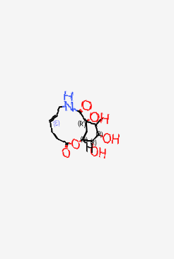 CC1[C@@H](O)[C@@H](O)[C@H]2C[C@]1(O)C(=O)NC/C=C/CCC(=O)O2